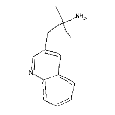 CC(C)(N)Cc1cnc2ccccc2c1